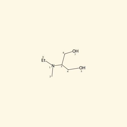 CCN(C)C(CO)CO